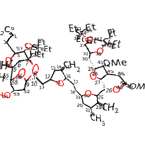 C=CCC1O[C@@H]2C[C@@H](O[C@@]3(CCC4CC(=C)C(CCC5CC(C)C(=C)C(C[C@@H]6O[C@H](CC(CO[Si](CC)(CC)CC)O[Si](CC)(CC)CC)[C@H](OC)C6CC(=O)OC)O5)O4)CC(O)[C@@H]2O3)C1O[Si](CC)(CC)CC